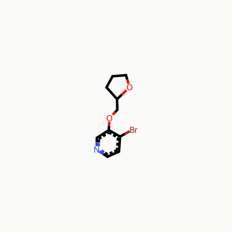 Brc1ccncc1OCC1CCCO1